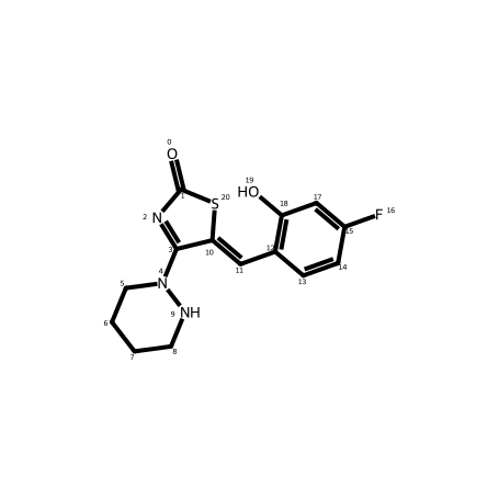 O=C1N=C(N2CCCCN2)/C(=C/c2ccc(F)cc2O)S1